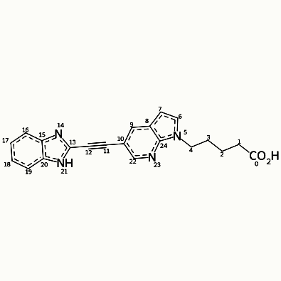 O=C(O)CCCCn1ccc2cc(C#Cc3nc4ccccc4[nH]3)cnc21